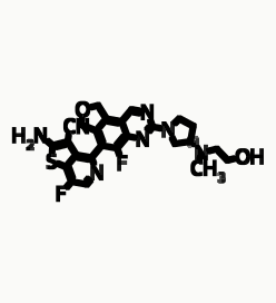 CN(CCO)[C@H]1CCN(c2ncc3c4c(c(-c5ncc(F)c6sc(N)c(C#N)c56)c(F)c3n2)COC4)C1